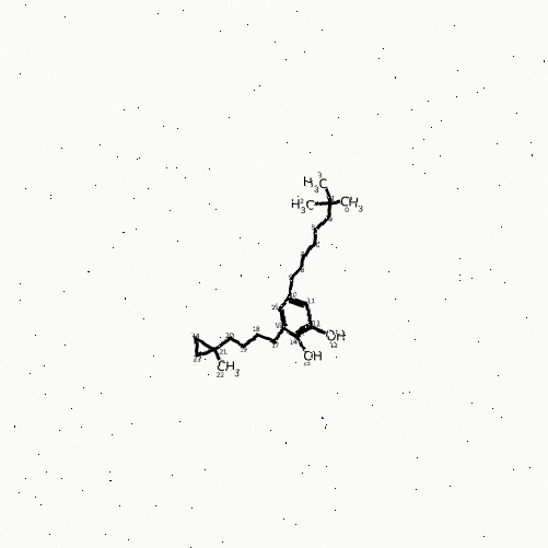 CC(C)(C)CCCCCCc1cc(O)c(O)c(CCCCC2(C)CC2)c1